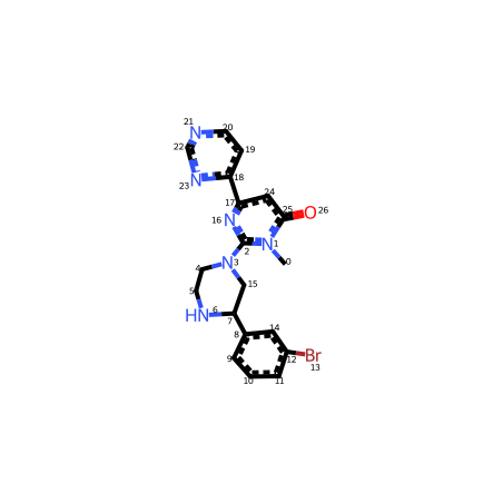 Cn1c(N2CCNC(c3cccc(Br)c3)C2)nc(-c2ccncn2)cc1=O